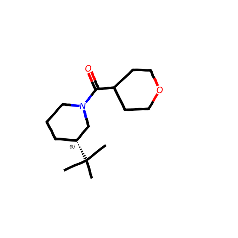 CC(C)(C)[C@@H]1CCCN(C(=O)C2CCOCC2)C1